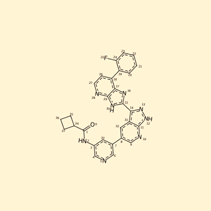 O=C(Nc1cncc(-c2cnc3[nH]nc(-c4nc5c(-c6ccccc6F)ccnc5[nH]4)c3c2)c1)C1CCC1